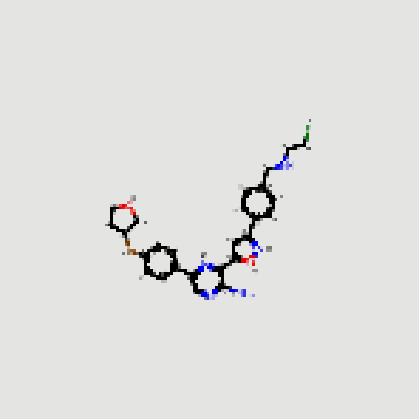 Nc1ncc(-c2ccc(SC3CCOC3)cc2)nc1-c1cc(-c2ccc(CNCCF)cc2)no1